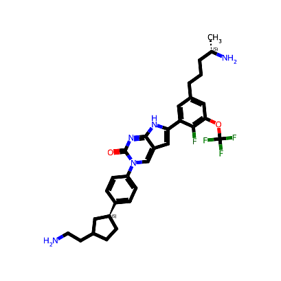 C[C@H](N)CCCc1cc(OC(F)(F)F)c(F)c(-c2cc3cn(-c4ccc([C@H]5CCC(CCN)C5)cc4)c(=O)nc3[nH]2)c1